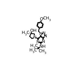 COc1ccc(Cn2nnc3nc(NC(C)(C)C)nc(N4CC[C@@](C)(O)C4)c32)cc1